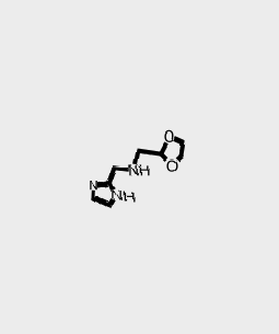 c1c[nH]c(CNCC2OCCO2)n1